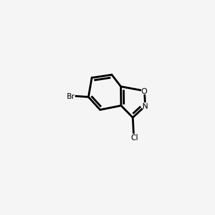 Clc1noc2ccc(Br)cc12